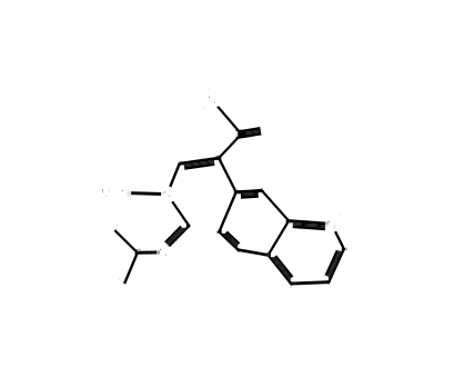 CNN(/C=N\C(C)C(F)(F)F)/C=C(/C(N)=O)c1ccc2cccnc2c1